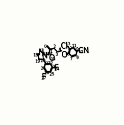 C=C(CCCOc1ccc(C#N)cc1Cl)C(=O)N1N=CCC1c1cc(F)cc(F)c1